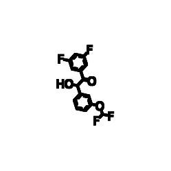 O=C(c1cc(F)cc(F)c1)C(O)c1cccc(OC(F)F)c1